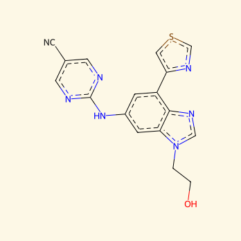 N#Cc1cnc(Nc2cc(-c3cscn3)c3ncn(CCO)c3c2)nc1